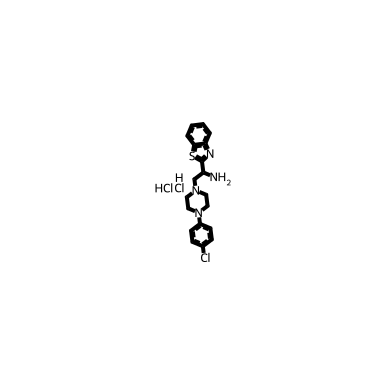 Cl.Cl.NC(CN1CCN(c2ccc(Cl)cc2)CC1)c1nc2ccccc2s1